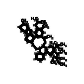 C=C1CC2C(CCc3ccc4c(oc5nc(C)ccc54)c3-c3cc(CC(C)C)c(C)c[n+]31)c1ccccc1-c1cc(C(C)C(C)(CC)CC)c([Si](C)(C)C)c[n+]12